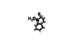 CN1c2ccccc2C=CC1F